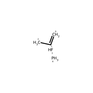 C=CC.F.P